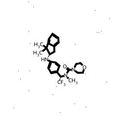 CN(C(=O)N1CCOCC1)[C@@H](c1ccc(N[C@H]2Cc3ccccc3C2(C)C)cc1)C(F)(F)F